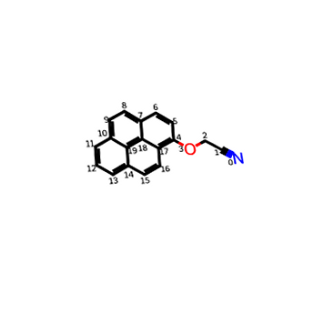 N#CCOc1ccc2ccc3cccc4ccc1c2c34